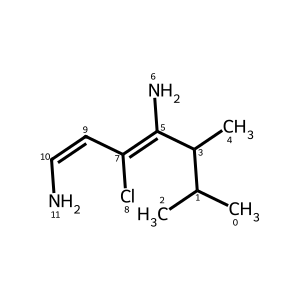 CC(C)C(C)/C(N)=C(Cl)/C=C\N